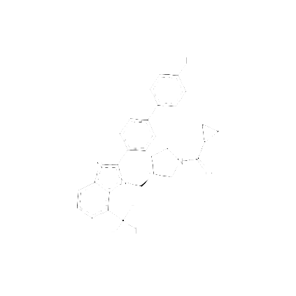 O=C(C1CC1)N1CC[C@H](Cn2c(-c3ccc(-c4ccc(F)cc4)cc3)nc3cccc(C(F)(F)F)c32)C1